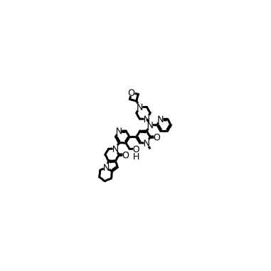 Cn1cc(-c2cncc(N3CCc4c(cc5n4CCCC5)C3=O)c2CO)cc(N(c2ccccn2)N2CCN(C3COC3)CC2)c1=O